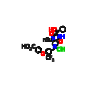 CCCCN1C(=O)[C@@H]([C@H](O)C2CCCCC2)NC(=O)C12CCN(Cc1ccc(Oc3ccc(C(=O)O)cc3)c(C(F)(F)F)c1)CC2.Cl